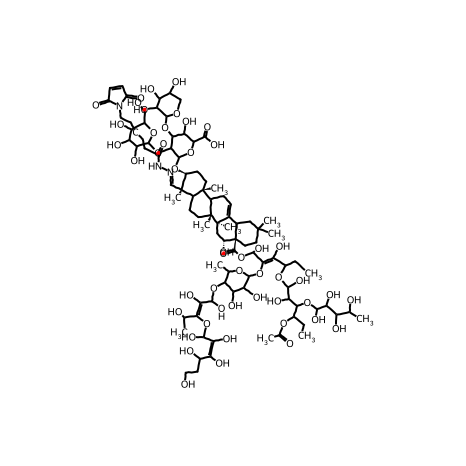 CCC(OC(O)C(O)C(OC(O)C(O)C(O)C(C)O)C(CC)OC(C)=O)/C(O)=C(\OC1OC(C)C(OC(O)/C(O)=C(\OC(O)/C(O)=C(/O)C(O)CCO)C(C)O)C(O)C1O)C(O)OC(=O)[C@]12CCC(C)(C)CC1C1=CCC3[C@@]4(C)CC[C@H](OC5OC(C(=O)O)C(O)C(OC6OCC(O)C(O)C6O)C5OC5OC(CO)C(O)C(O)C5O)[C@@](C)(/C=N/NC(=O)CCCCCN5C(=O)C=CC5=O)C4CC[C@@]3(C)[C@]1(C)C[C@H]2O